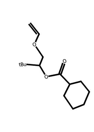 C=COCC(OC(=O)C1CCCCC1)C(C)(C)C